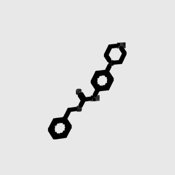 O=C(Nc1ccc(N2CCNCC2)cc1)OCc1ccccc1